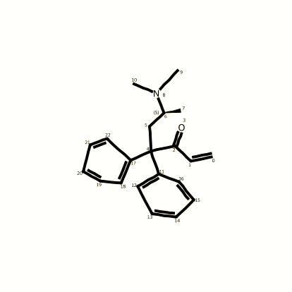 C=CC(=O)C(C[C@H](C)N(C)C)(c1ccccc1)c1ccccc1